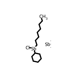 CCCCCCC[CH2][Sb]([Cl])[CH]1CCCCC1.[Sb]